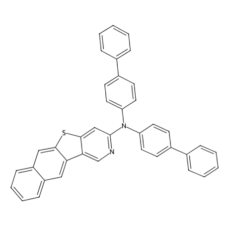 c1ccc(-c2ccc(N(c3ccc(-c4ccccc4)cc3)c3cc4sc5cc6ccccc6cc5c4cn3)cc2)cc1